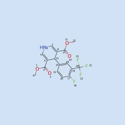 COC(=O)C1=CNC=C(C(=O)OC)C1c1ccc(F)c(C(F)(F)F)c1